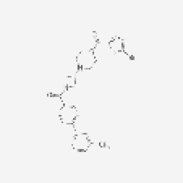 O=C(c1ccc(-c2cccc(C(F)(F)F)c2)cc1)N1CC(N2CCN(C(=O)c3ccc(Br)o3)CC2)C1